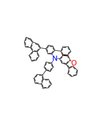 c1ccc(-c2ccc(-c3cc4ccccc4c4ccccc34)cc2N(c2ccc(-c3cccc4ccccc34)cc2)c2ccc3oc4ccccc4c3c2)cc1